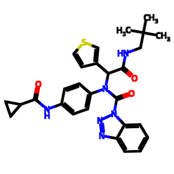 CC(C)(C)CNC(=O)C(c1ccsc1)N(C(=O)n1nnc2ccccc21)c1ccc(NC(=O)C2CC2)cc1